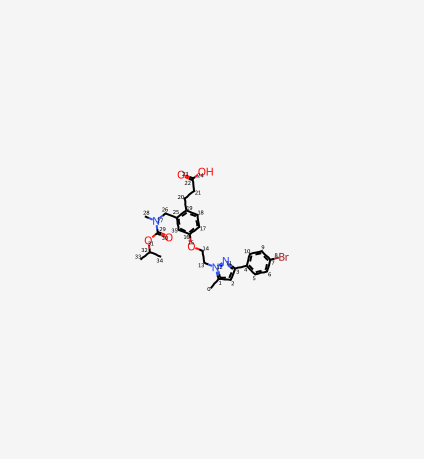 Cc1cc(-c2ccc(Br)cc2)nn1CCOc1ccc(CCC(=O)O)c(CN(C)C(=O)OC(C)C)c1